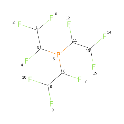 FC(F)C(F)P(C(F)C(F)F)C(F)C(F)F